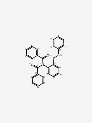 O=C(c1ccccc1)N(C(=O)c1ccccc1)c1ccccc1SSc1ccccc1